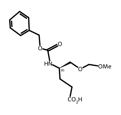 COCOC[C@@H](CCC(=O)O)NC(=O)OCc1ccccc1